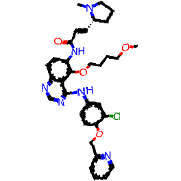 COCCCCOc1c(NC(=O)/C=C/[C@H]2CCCN2C)ccc2ncnc(Nc3ccc(OCc4ccccn4)c(Cl)c3)c12